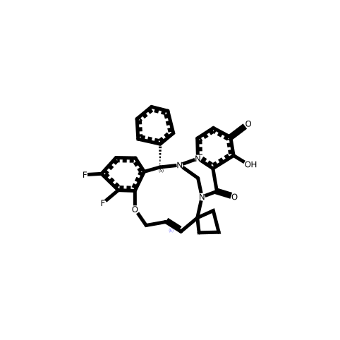 O=C1c2c(O)c(=O)ccn2N2CN1C1(/C=C/COc3c(ccc(F)c3F)[C@@H]2c2ccccc2)CCC1